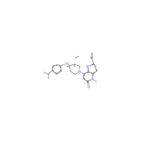 CC[C@@H]1CN(c2cc(=O)n(C)c3ccc(C#N)nc23)CC[C@H]1Oc1ccc(C(C)C)cc1